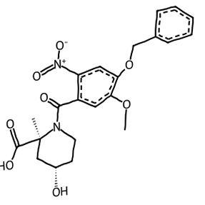 COc1cc(C(=O)N2CC[C@H](O)C[C@@]2(C)C(=O)O)c([N+](=O)[O-])cc1OCc1ccccc1